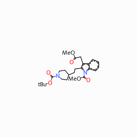 COC(=O)Cc1c(CCC2CCN(C(=O)OC(C)(C)C)CC2)n(C(=O)OC)c2ccccc12